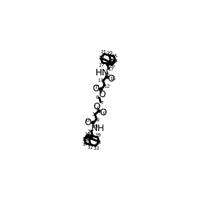 O=C(CCC(=O)OCCOC(=O)CCC(=O)NCC12CC3CC(CC(C3)C1)C2)NCC12CC3CC(CC(C3)C1)C2